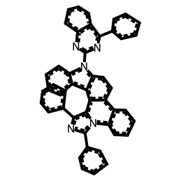 c1ccc(-c2nc(-n3c4ccccc4c4c5c(ccc43)c3ccccc3n3c(-c4ccccc4)nc(-c4ccccc4)c53)nc3ccccc23)cc1